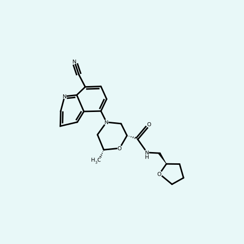 C[C@@H]1CN(c2ccc(C#N)c3ncccc23)C[C@H](C(=O)NC[C@H]2CCCO2)O1